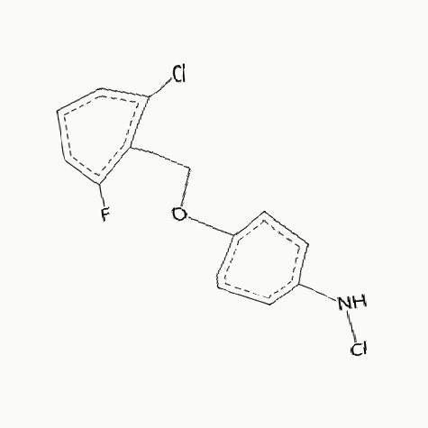 Fc1cccc(Cl)c1COc1ccc(NCl)cc1